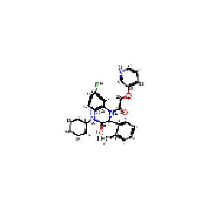 Cc1ccccc1C(C(=O)NC1CCCCC1)N(C(=O)COc1cccnc1)c1cccc(F)c1